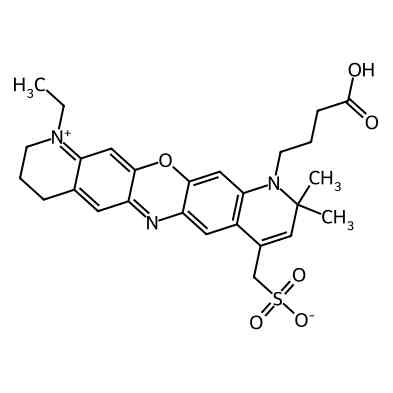 CC[N+]1=c2cc3c(cc2CCC1)=Nc1cc2c(cc1O3)N(CCCC(=O)O)C(C)(C)C=C2CS(=O)(=O)[O-]